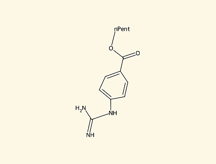 CCCCCOC(=O)c1ccc(NC(=N)N)cc1